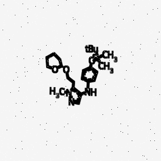 Cn1ncc(Nc2ccc(O[Si](C)(C)C(C)(C)C)cc2)c1CCO[C@H]1CCCCO1